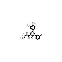 Cc1ccc(-c2cc(C(=O)N[C@H](C)CO)c(=O)n(-c3cccc(F)c3)n2)cc1C